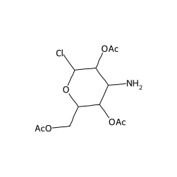 CC(=O)OCC1OC(Cl)C(OC(C)=O)C(N)C1OC(C)=O